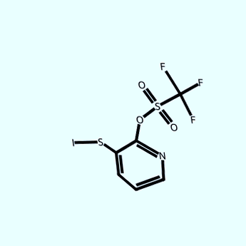 O=S(=O)(Oc1ncccc1SI)C(F)(F)F